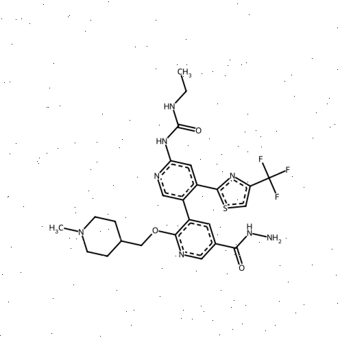 CCNC(=O)Nc1cc(-c2nc(C(F)(F)F)cs2)c(-c2cc(C(=O)NN)cnc2OCC2CCN(C)CC2)cn1